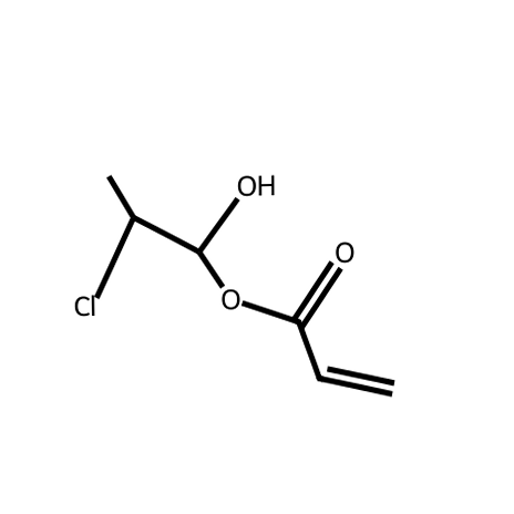 C=CC(=O)OC(O)C(C)Cl